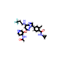 CC(=O)Nc1ccncc1Oc1cc(NCCC(F)(F)F)c2ncc(-c3ccc(C(=O)NC4CC4)c(C)c3)n2n1